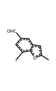 Cc1cc2cc(C=O)cc(I)c2o1